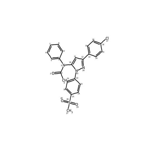 CC(=O)N(c1ccccc1)c1cc(-c2ccc(Cl)cc2)nn1-c1ccc(S(C)(=O)=O)cc1